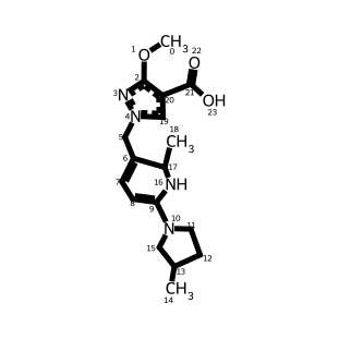 COc1nn(CC2=CC=C(N3CCC(C)C3)NC2C)cc1C(=O)O